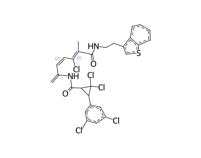 C=C(/C=C\C(Cl)=C(/C)C(=O)NCCc1csc2ccccc12)NC(=O)C1C(c2cc(Cl)cc(Cl)c2)C1(Cl)Cl